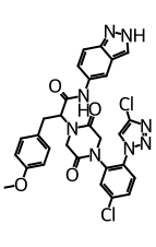 COc1ccc(CC(C(=O)Nc2ccc3n[nH]cc3c2)N2CC(=O)N(c3cc(Cl)ccc3-n3cc(Cl)nn3)CC2=O)cc1